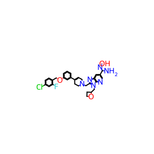 NC(=NO)c1cnc2c(c1)nc(CN1CC=C(c3cccc(OCc4ccc(Cl)cc4F)c3)CC1)n2CC1CCO1